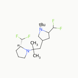 CC(C)(C)N1CC(CC(C)(C)N2CCC[C@@H]2C(F)F)CC1C(F)F